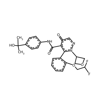 CC(C)(O)c1ccc(NC(=O)c2c(-c3ccccc3OCC(F)F)n(C3COC3)ncc2=O)cc1